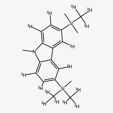 [2H]c1c([Si](C)(C)C([2H])([2H])[2H])c([2H])c2c3c([2H])c([Si](C)(C([2H])([2H])[2H])C([2H])([2H])[2H])c([2H])c([2H])c3n(C)c2c1[2H]